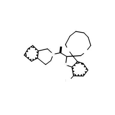 Cc1cccc2c1NC(C(=O)N1CCc3ccccc3C1)C21CCCCCCCCC1